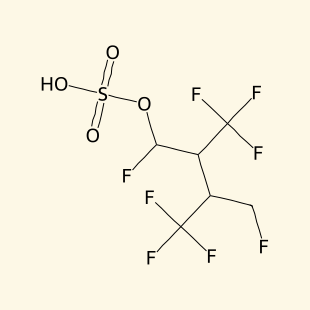 O=S(=O)(O)OC(F)C(C(CF)C(F)(F)F)C(F)(F)F